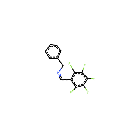 Fc1c(F)c(F)c(/C=N\Cc2ccccc2)c(F)c1F